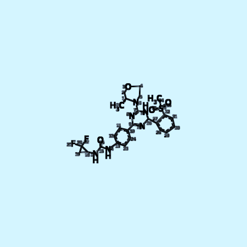 C[C@H]1COCCN1C1=NC(c2ccc(NC(=O)NC3CC3(F)F)cc2)=NC(c2ccccc2S(C)(=O)=O)N1